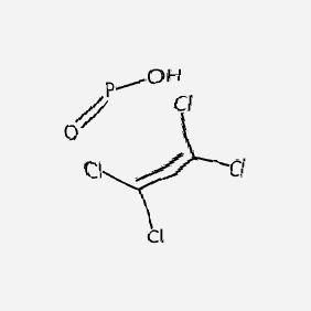 ClC(Cl)=C(Cl)Cl.O=PO